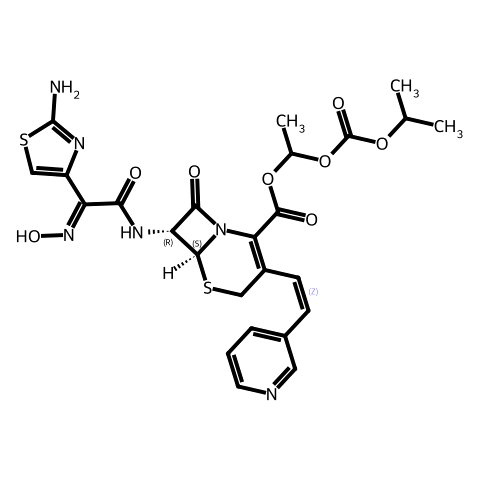 CC(C)OC(=O)OC(C)OC(=O)C1=C(/C=C\c2cccnc2)CS[C@H]2[C@H](NC(=O)C(=NO)c3csc(N)n3)C(=O)N12